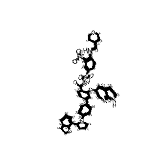 O=C(NS(=O)(=O)c1ccc(NCC2CCOCC2)c([N+](=O)[O-])c1)c1ccc(-c2ccc(N3CCCC3c3cccc4c3OCC4)cc2)cc1Oc1cnc2[nH]ccc2c1